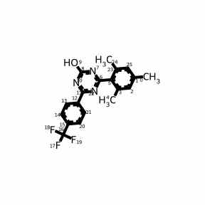 Cc1cc(C)c(-c2nc(O)nc(-c3ccc(C(F)(F)F)cc3)n2)c(C)c1